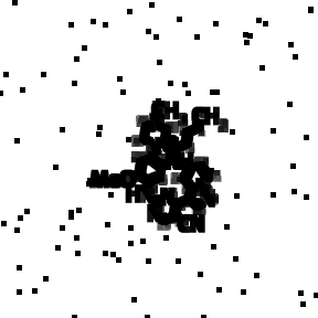 C=C/C=C/C(=O)Nc1cc(Nc2ncc(C#N)c(-c3cnn4ccccc34)n2)c(OC)cc1N1CCN(C)CC1